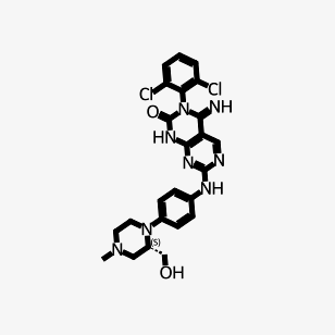 CN1CCN(c2ccc(Nc3ncc4c(=N)n(-c5c(Cl)cccc5Cl)c(=O)[nH]c4n3)cc2)[C@H](CO)C1